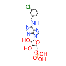 O=P(O)(O)OC[C@H]1O[C@@H](n2cnc3c(NCc4cccc(Cl)c4)ncnc32)[C@H](O)[C@@H]1O